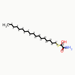 CCCCCCCCCCCCCCCCCCSC(O)C(N)=O